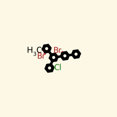 Cc1cccc(-c2cc(-c3ccccc3Cl)cc(-c3ccc(-c4ccccc4)cc3Br)c2)c1Br